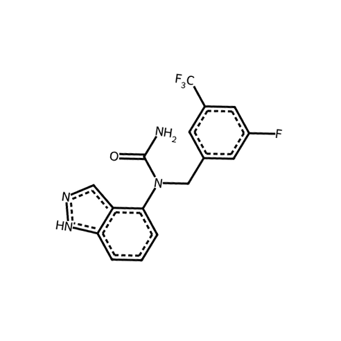 NC(=O)N(Cc1cc(F)cc(C(F)(F)F)c1)c1cccc2[nH]ncc12